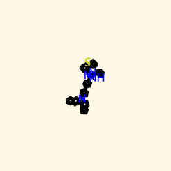 c1ccc(C2=NC(c3cccc4sc5ccccc5c34)=NC(c3ccc(-c4ccc(-n5c6cc7ccccc7cc6c6c7ccccc7ccc65)cc4)cc3)N2)cc1